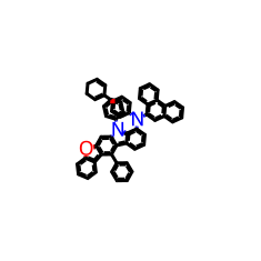 C1=CC(c2ccc(N(c3cc4ccccc4c4ccccc34)c3cccc4c5c(-c6ccccc6)c6c(cc5n(-c5ccccc5)c34)oc3ccccc36)cc2)=CCC1